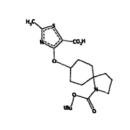 Cc1nc(OC2CCC3(CCCN3C(=O)OC(C)(C)C)CC2)c(C(=O)O)s1